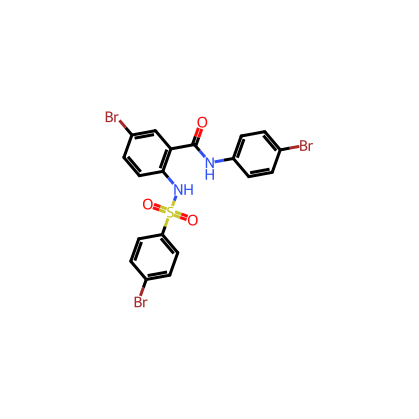 O=C(Nc1ccc(Br)cc1)c1cc(Br)ccc1NS(=O)(=O)c1ccc(Br)cc1